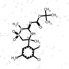 CN1/C(=N/C(=O)OC(C)(C)C)N[C@](C)(c2cc(N)cc(Cl)c2F)CS1(=O)=O